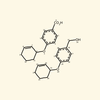 O=C(O)c1ccc(OC2C=CCCC2)cc1.OCc1ccc(OC2C=CCCC2)cc1